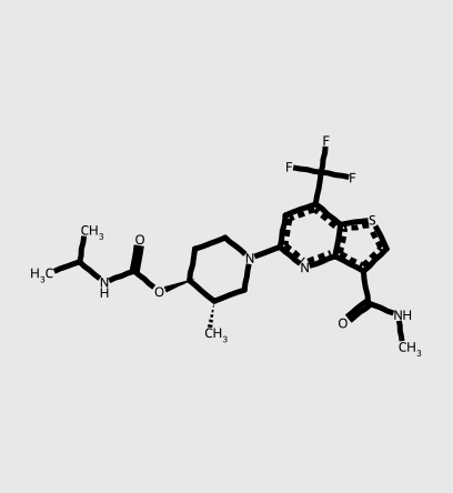 CNC(=O)c1csc2c(C(F)(F)F)cc(N3CC[C@H](OC(=O)NC(C)C)[C@@H](C)C3)nc12